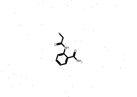 NC(=O)c1ccccc1NC(=O)CI